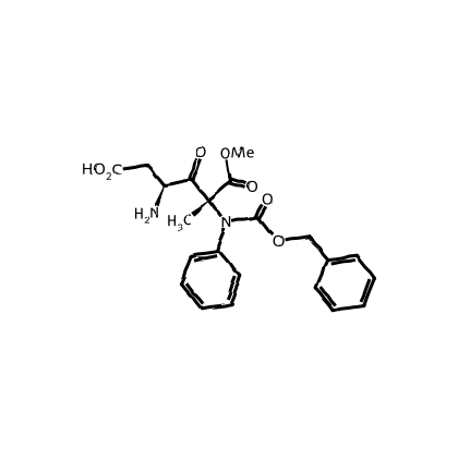 COC(=O)[C@@](C)(C(=O)[C@@H](N)CC(=O)O)N(C(=O)OCc1ccccc1)c1ccccc1